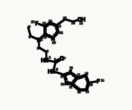 CCN(CCNC(=O)Nc1nc2ccc(F)cc2s1)c1ncc(CCO)cc1F